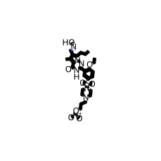 CCCc1c(/C=N/O)c(C)c2c(=O)[nH]c(-c3cc(S(=O)(=O)N4CCN(CCCO[N+](=O)[O-])CC4)ccc3OCC)nn12